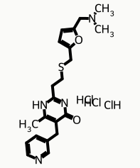 Cc1[nH]c(CCSCc2ccc(CN(C)C)o2)nc(=O)c1Cc1cccnc1.Cl.Cl.Cl